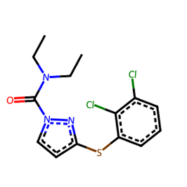 CCN(CC)C(=O)n1ccc(Sc2cccc(Cl)c2Cl)n1